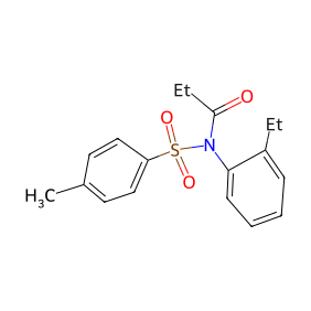 CCC(=O)N(c1ccccc1CC)S(=O)(=O)c1ccc(C)cc1